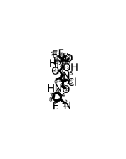 Cc1c(C(=O)Nc2ccc(F)c(C#N)c2)c(Cl)n(C)c1C(=O)C(O)NC1(C(F)(F)F)COC1